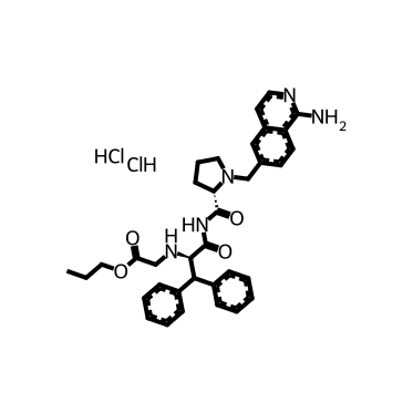 CCCOC(=O)CN[C@@H](C(=O)NC(=O)[C@@H]1CCCN1Cc1ccc2c(N)nccc2c1)C(c1ccccc1)c1ccccc1.Cl.Cl